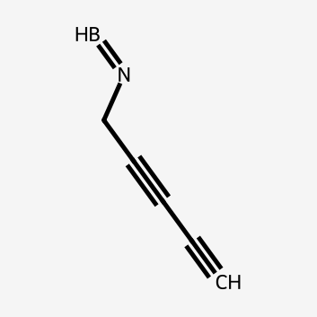 B=NCC#CC#C